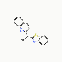 N#CC(c1ccc2ccccc2n1)c1nc2ccccc2s1